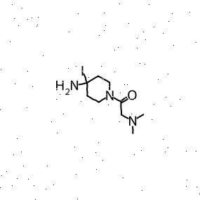 CN(C)CC(=O)N1CCC(N)(I)CC1